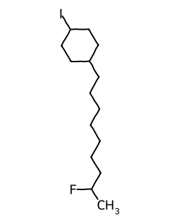 CC(F)CCCCCCCC1CCC(I)CC1